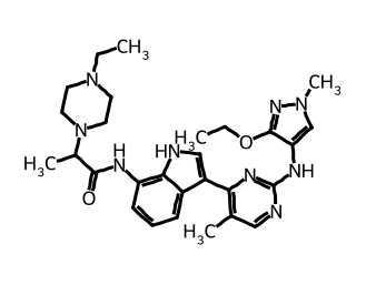 CCOc1nn(C)cc1Nc1ncc(C)c(-c2c[nH]c3c(NC(=O)C(C)N4CCN(CC)CC4)cccc23)n1